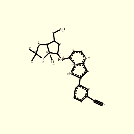 C#Cc1cccc(-c2cc3nccc(NC4CC(CO)C5OC(C)(C)O[C@@H]45)n3n2)c1